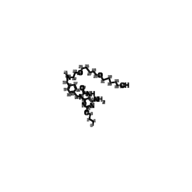 CCCCOc1nc(N)c2[nH]c(=O)n(Cc3ccc(CN(C)CCOCCCCCOCCCCCO)cc3)c2n1